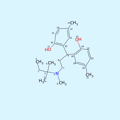 CCC(C)(C)N(C)CCC(c1cc(C)ccc1O)c1cc(C)ccc1O